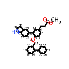 COC(=O)CCc1ccc(OCc2ccccc2-c2ccccc2)c(-c2ccc3[nH]ccc3c2)c1